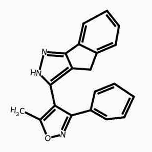 Cc1onc(-c2ccccc2)c1-c1[nH]nc2c1Cc1ccccc1-2